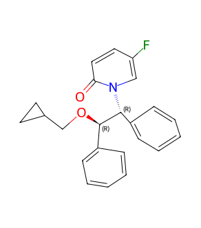 O=c1ccc(F)cn1[C@H](c1ccccc1)[C@H](OCC1CC1)c1ccccc1